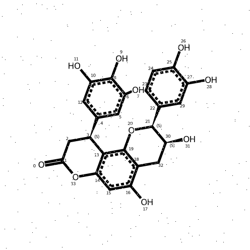 O=C1C[C@@H](c2cc(O)c(O)c(O)c2)c2c(cc(O)c3c2O[C@@H](c2ccc(O)c(O)c2)[C@@H](O)C3)O1